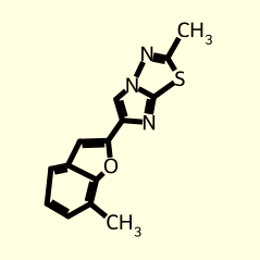 Cc1nn2cc(-c3cc4cccc(C)c4o3)nc2s1